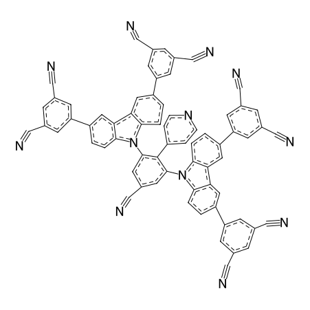 N#Cc1cc(C#N)cc(-c2ccc3c(c2)c2cc(-c4cc(C#N)cc(C#N)c4)ccc2n3-c2cc(C#N)cc(-n3c4ccc(-c5cc(C#N)cc(C#N)c5)cc4c4cc(-c5cc(C#N)cc(C#N)c5)ccc43)c2-c2ccncc2)c1